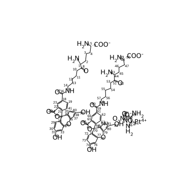 NC(CCC[C@H](N)C(=O)[O-])C(=O)CCCCCNC(=O)c1ccc2c(c1)C(=O)OC21c2ccc(O)cc2Oc2cc(O)ccc21.NC(CCC[C@H](N)C(=O)[O-])C(=O)CCCCCNC(=O)c1ccc2c(c1)C(=O)OC21c2ccc(O)cc2Oc2cc(O)ccc21.NCCN.O=[N+]([O-])[O-].O=[N+]([O-])[O-].[Pt+4]